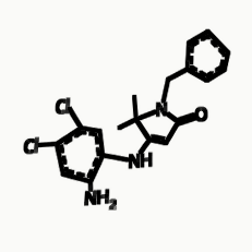 CC1(C)C(Nc2cc(Cl)c(Cl)cc2N)=CC(=O)N1Cc1ccccc1